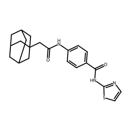 O=C(CC12CC3CC(CC(C3)C1)C2)Nc1ccc(C(=O)Nc2nccs2)cc1